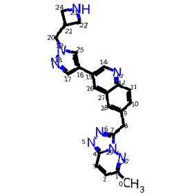 Cc1ccc2nnc(Cc3ccc4ncc(-c5cnn(CC6CNC6)c5)cc4c3)n2n1